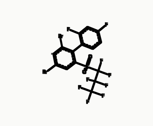 O=S(=O)(c1cc(Br)[c]c(Br)c1-c1ccc(F)cc1F)C(F)(F)C(F)(F)C(F)(F)F